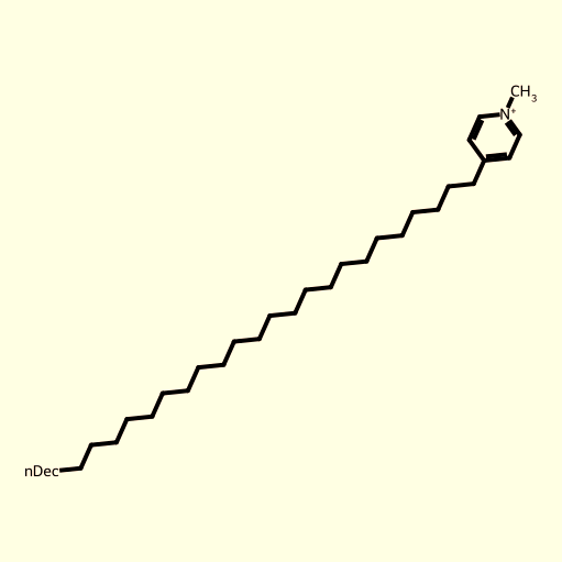 CCCCCCCCCCCCCCCCCCCCCCCCCCCCCCCCCc1cc[n+](C)cc1